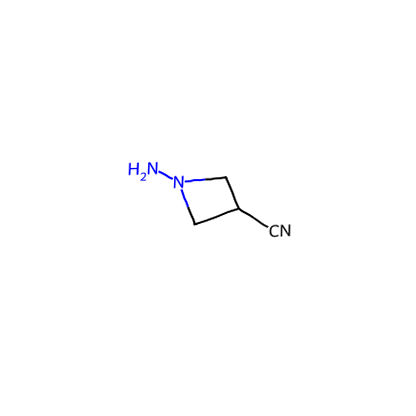 N#CC1CN(N)C1